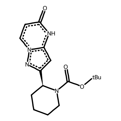 CC(C)(C)OC(=O)N1CCCC[C@H]1c1cc2[nH]c(=O)ccn2n1